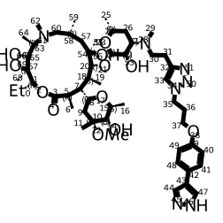 CC[C@H]1OC(=O)[C@H](C)C([C@H]2C[C@@](C)(OC)[C@@H](O)[C@H](C)O2)[C@H](C)[C@@H](O[C@@H]2O[C@H](C)C[C@H](N(C)CCc3cn(CCCOc4ccc(-c5cn[nH]c5)cc4)nn3)[C@H]2O)[C@](C)(O)C[C@@H](C)CN(C)[C@H](C)[C@@H](O)[C@]1(C)O